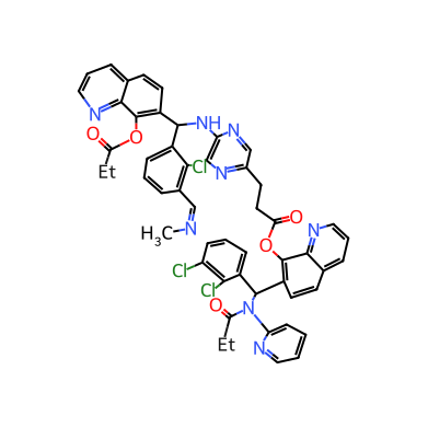 CCC(=O)Oc1c(C(Nc2cnc(CCC(=O)Oc3c(C(c4cccc(Cl)c4Cl)N(C(=O)CC)c4ccccn4)ccc4cccnc34)cn2)c2cccc(/C=N\C)c2Cl)ccc2cccnc12